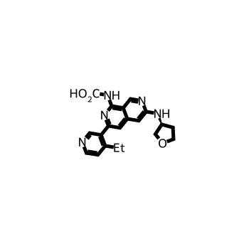 CCc1ccncc1-c1cc2cc(N[C@H]3CCOC3)ncc2c(NC(=O)O)n1